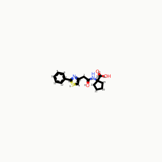 O=C(Cc1csc(-c2ccccc2)n1)NC1(C(=O)O)CCCC1